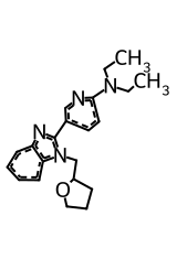 CCN(CC)c1ccc(-c2nc3ccccc3n2CC2CCCO2)cn1